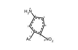 CC(=O)c1cc(N)ccc1[N+](=O)[O-]